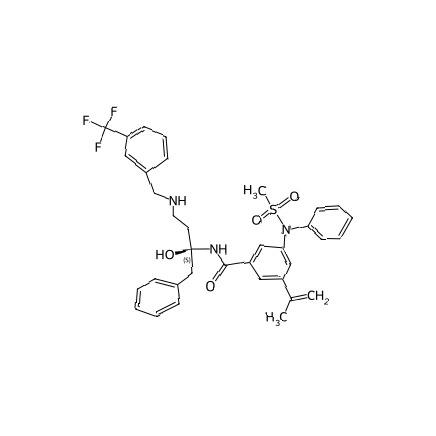 C=C(C)c1cc(C(=O)N[C@@](O)(CCNCc2cccc(C(F)(F)F)c2)Cc2ccccc2)cc(N(c2ccccc2)S(C)(=O)=O)c1